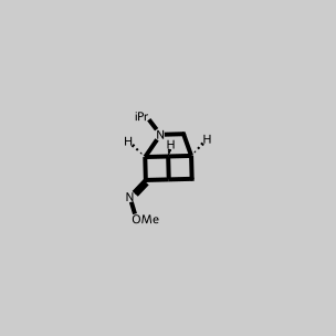 CO/N=C1\C2C[C@@H]3CN(C(C)C)[C@H]1[C@H]23